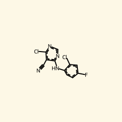 N#Cc1c(Cl)ncnc1Nc1ccc(F)cc1Cl